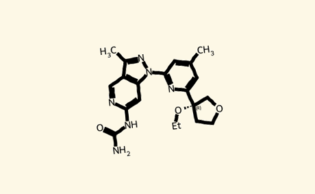 CCO[C@@]1(c2cc(C)cc(-n3nc(C)c4cnc(NC(N)=O)cc43)n2)CCOC1